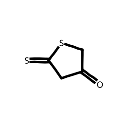 O=C1CSC(=S)C1